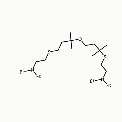 CCN(CC)CCSCCC(C)(C)OCCC(C)(C)SCCN(CC)CC